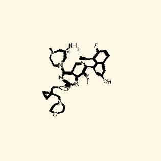 C#Cc1c(F)ccc2cc(O)cc(-c3ncc4c(N5CCN(C)C[C@@H](N)C5)nc(OCC5(CN6CCOCC6)CC5)nc4c3F)c12